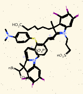 CCCCC(C(=O)O)C1(C)/C(=C/C=C2\CCCC(/C=C/C3=[N+](CCCS(=O)(=O)O)c4cc(I)c(I)c(I)c4C3(C)CCCCCC(=O)O)=C2Sc2ccc(N(C)C)cc2)N(CS(=O)(=O)O)c2cc(I)c(I)c(I)c21